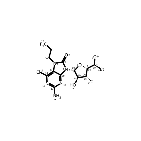 CC[C@H](O)[C@H]1O[C@@H](n2c(=O)n(CCC(F)(F)F)c3c(Cl)nc(N)nc32)[C@H](O)[C@H]1F